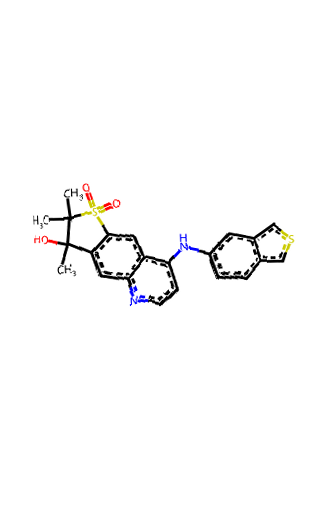 CC1(O)c2cc3nccc(Nc4ccc5cscc5c4)c3cc2S(=O)(=O)C1(C)C